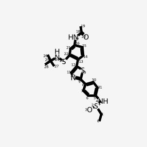 CC[S+]([O-])Nc1ccc(-c2ncc(-c3ccc(NC(C)=O)cc3SNC(C)(C)C)s2)cc1